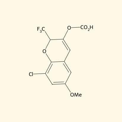 COc1cc(Cl)c2c(c1)C=C(OC(=O)O)C(C(F)(F)F)O2